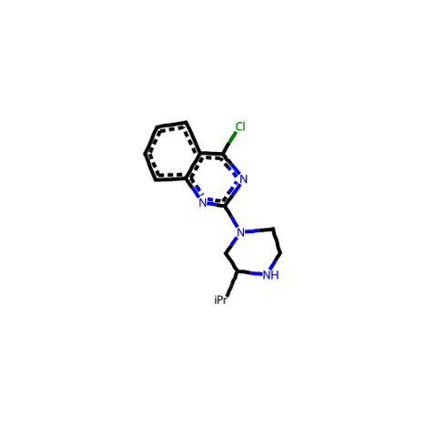 CC(C)C1CN(c2nc(Cl)c3ccccc3n2)CCN1